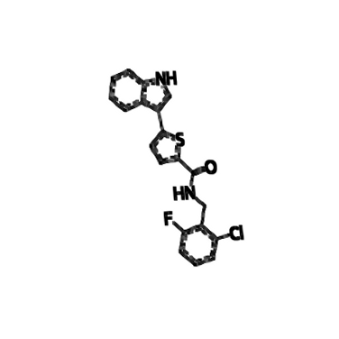 O=C(NCc1c(F)cccc1Cl)c1ccc(-c2c[nH]c3ccccc23)s1